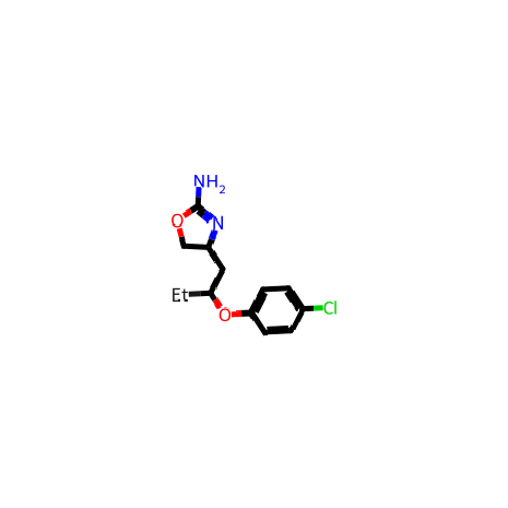 CCC(CC1COC(N)=N1)Oc1ccc(Cl)cc1